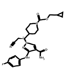 N#CC[C@@H](C1CCN(C(=O)OCC2CC2)CC1)n1cc(C(N)=O)c(Nc2ccc(F)cc2)n1